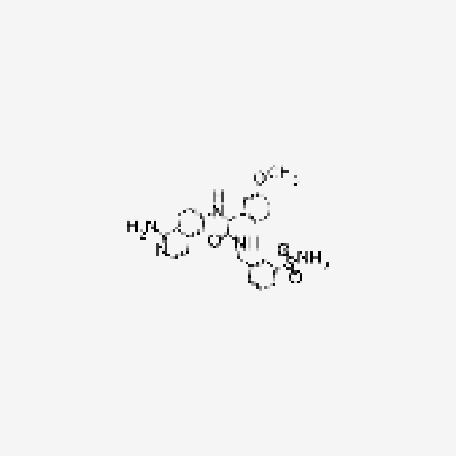 COc1cccc(C(Nc2ccc3c(N)nccc3c2)C(=O)NCc2cccc(S(N)(=O)=O)c2)c1